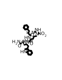 CCCCCCN(CC(Cc1c[nH]c2ccccc12)NC(=O)C(CCCN(C(=N)N)[N+](=O)[O-])NC(=O)[CH]Cc1ccccc1)C(N)=O